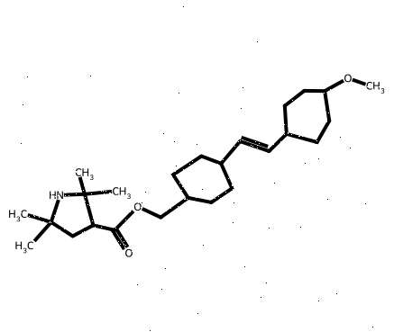 COC1CCC(/C=C/C2CCC(COC(=O)C3CC(C)(C)NC3(C)C)CC2)CC1